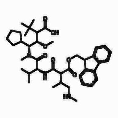 CNCC(C)[C@@H](C(=O)N[C@H](C(=O)N(C)[C@@H](C1CCCC1)[C@H](OC)C(C(=O)O)C(C)(C)C)C(C)C)C(=O)OCC1c2ccccc2-c2ccccc21